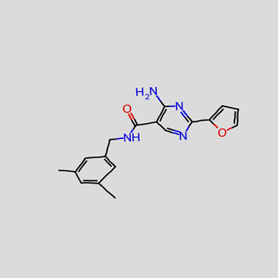 Cc1cc(C)cc(CNC(=O)c2cnc(-c3ccco3)nc2N)c1